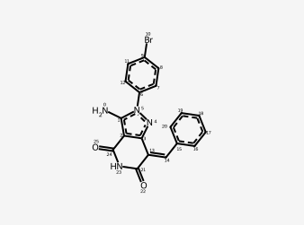 Nc1c2c(nn1-c1ccc(Br)cc1)/C(=C\c1ccccc1)C(=O)NC2=O